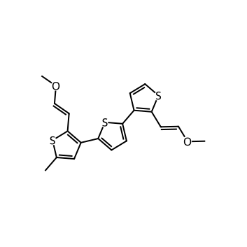 CO/C=C/c1sccc1-c1ccc(-c2cc(C)sc2/C=C/OC)s1